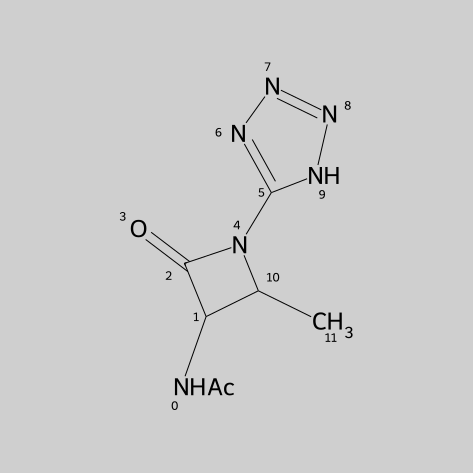 CC(=O)NC1C(=O)N(c2nnn[nH]2)C1C